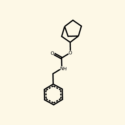 O=C(NCc1ccccc1)OC1CC2CCC1C2